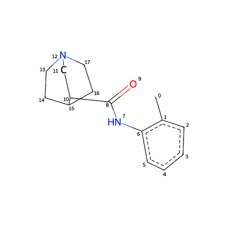 Cc1ccccc1NC(=O)C1CN2CCC1CC2